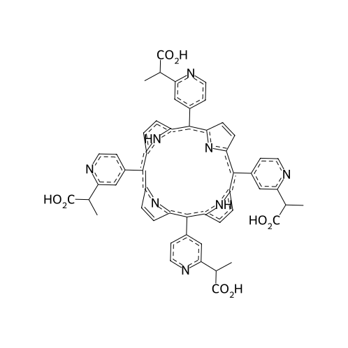 CC(C(=O)O)c1cc(-c2c3nc(c(-c4ccnc(C(C)C(=O)O)c4)c4ccc([nH]4)c(-c4ccnc(C(C)C(=O)O)c4)c4nc(c(-c5ccnc(C(C)C(=O)O)c5)c5ccc2[nH]5)C=C4)C=C3)ccn1